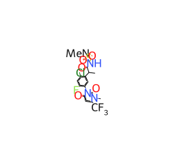 CNS(=O)(=O)NC(=O)C(C)c1cc(-n2c(=O)cc(C(F)(F)F)n(C)c2=O)c(F)cc1Cl